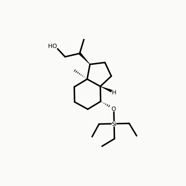 CC[Si](CC)(CC)O[C@@H]1CCC[C@@]2(C)[C@@H](C(C)CO)CC[C@H]12